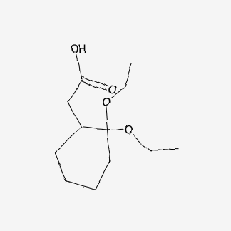 CCOC1(OCC)CCCCC1CC(=O)O